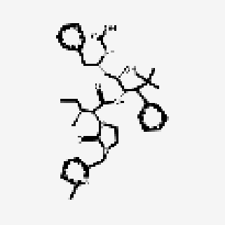 CC[C@H](C)[C@@H](C(=O)N[C@@H](C(c1ccccc1)C(C)(C)C)[C@@H](O)C[C@H](Cc1ccccc1)NC(=O)O)N1CCN(Cc2cccc(C)n2)C1=O